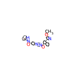 CCOc1cncc(-c2ccc(C(=O)N3CCN(c4ccc(C(=O)NCC56CC7CC(CC(C7)C5)C6)cc4)CC3)c3ccccc23)c1